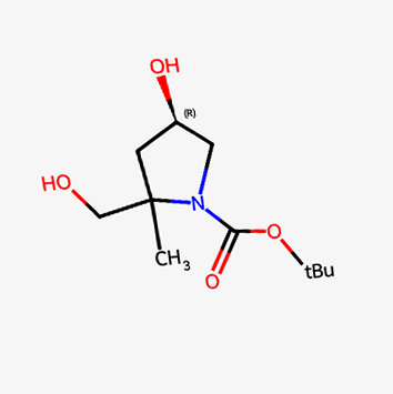 CC(C)(C)OC(=O)N1C[C@H](O)CC1(C)CO